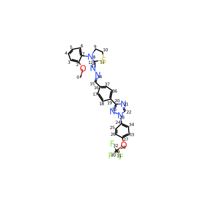 COc1ccccc1N1CCS/C1=N\N=C\c1ccc(-c2ncn(-c3ccc(OC(F)(F)F)cc3)n2)cc1